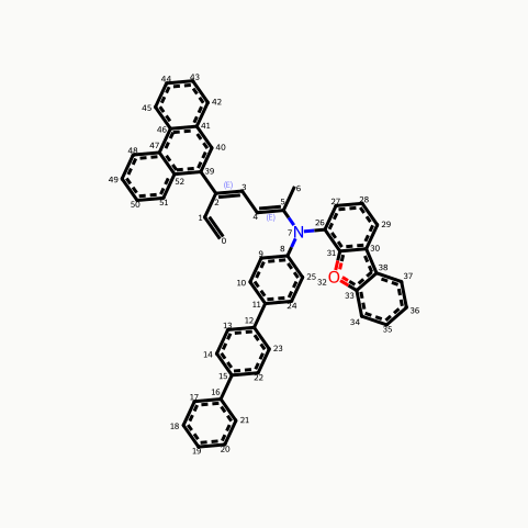 C=C/C(=C\C=C(/C)N(c1ccc(-c2ccc(-c3ccccc3)cc2)cc1)c1cccc2c1oc1ccccc12)c1cc2ccccc2c2ccccc12